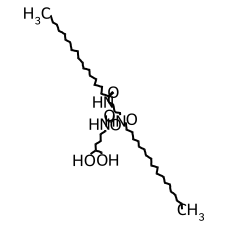 CCCCCCCCCCCCCCCCCCCC(=O)NCC(CNC(=O)CCCCCCCCCCCCCCCCCCC)OC(=O)NCCCCC(CO)CO